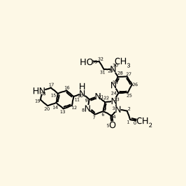 C=CCn1c(=O)c2cnc(Nc3ccc4c(c3)CNCC4)nc2n1-c1cccc(N(C)CCO)n1